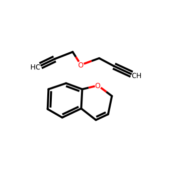 C#CCOCC#C.C1=Cc2ccccc2OC1